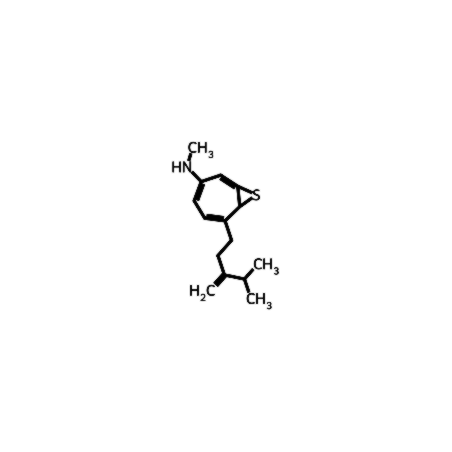 C=C(CCC1=CC=C(NC)C=C2SC12)C(C)C